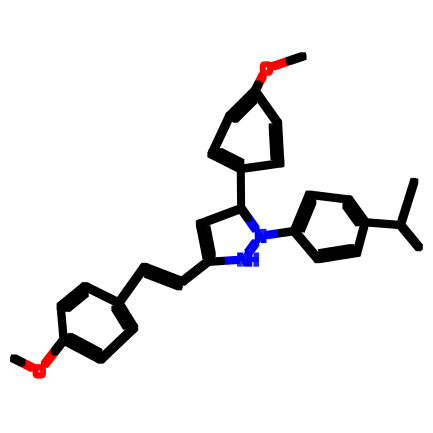 COc1ccc(C=CC2=CC(c3ccc(OC)cc3)N(c3ccc(C(C)C)cc3)N2)cc1